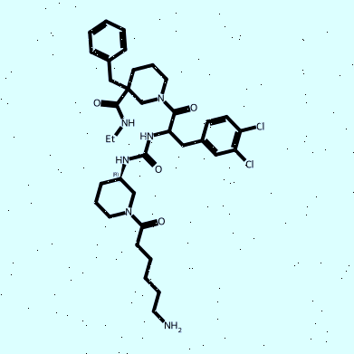 CCNC(=O)C1(Cc2ccccc2)CCCN(C(=O)C(Cc2ccc(Cl)c(Cl)c2)NC(=O)N[C@@H]2CCCN(C(=O)CCCCCN)C2)C1